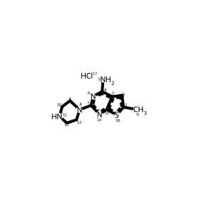 Cc1cc2c(N)nc(N3CCNCC3)nc2s1.Cl